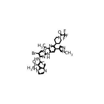 COc1nc(C2CCN(C(=O)C(F)(F)F)CC2)c(-c2cnn(C)c2)cc1Nc1ncc(Br)c(Nc2ccc3nccnc3c2[PH](C)=O)n1